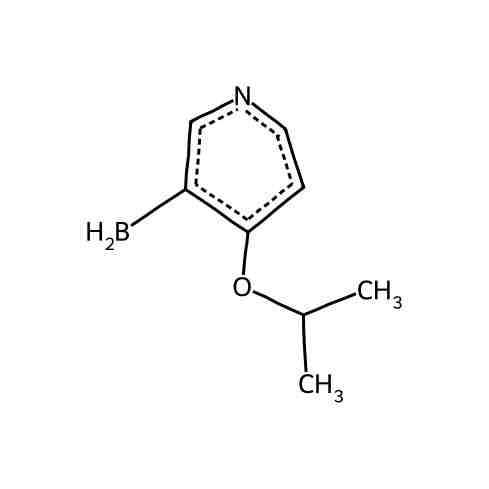 Bc1cnccc1OC(C)C